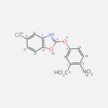 O=C(O)c1cc(Oc2nc3cc(Cl)ccc3o2)ccc1[N+](=O)[O-]